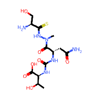 CC(O)[C@H](NC(=O)N[C@@H](CC(N)=O)C(=O)N(C)NC(=S)[C@@H](N)CO)C(=O)O